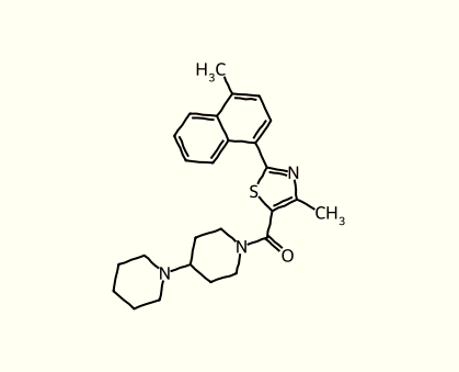 Cc1nc(-c2ccc(C)c3ccccc23)sc1C(=O)N1CCC(N2CCCCC2)CC1